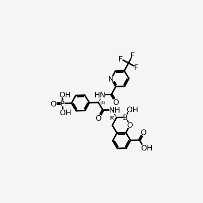 O=C(N[C@H](C(=O)N[C@H]1Cc2cccc(C(=O)O)c2OB1O)c1ccc(P(=O)(O)O)cc1)c1ccc(C(F)(F)F)cn1